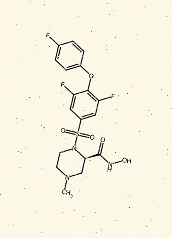 CN1CCN(S(=O)(=O)c2cc(F)c(Oc3ccc(F)cc3)c(F)c2)[C@@H](C(=O)NO)C1